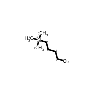 C[Si](C)(C)CCCC[O]